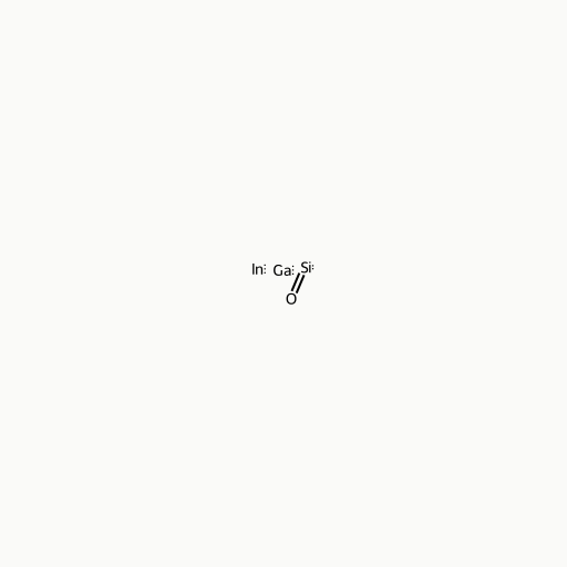 O=[Si].[Ga].[In]